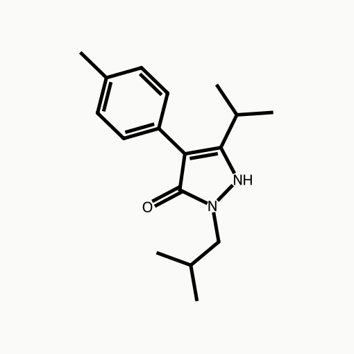 Cc1ccc(-c2c(C(C)C)[nH]n(CC(C)C)c2=O)cc1